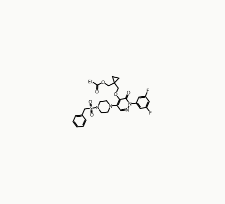 CCC(=O)OCC1(COc2c(N3CCN(S(=O)(=O)Cc4ccccc4)CC3)cnn(-c3cc(F)cc(F)c3)c2=O)CC1